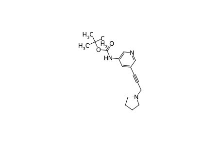 CC(C)(C)OC(=O)Nc1cncc(C#CCN2CCCC2)c1